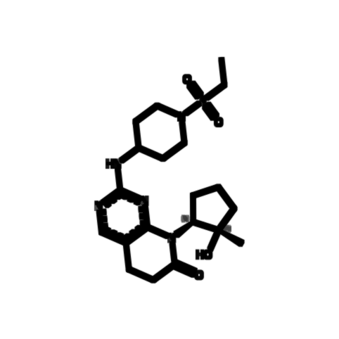 CCS(=O)(=O)N1CCC(Nc2ncc3c(n2)N([C@H]2CCC[C@]2(C)O)C(=O)CC3)CC1